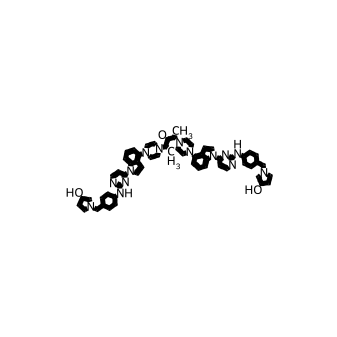 CC(C(=O)C(C)N1CCN(c2cccc3c2ccn3-c2ccnc(NC3CCC(CN4CC[C@@H](O)C4)CC3)n2)CC1)N1CCN(c2cccc3c2ccn3-c2ccnc(NC3CCC(CN4CC[C@@H](O)C4)CC3)n2)CC1